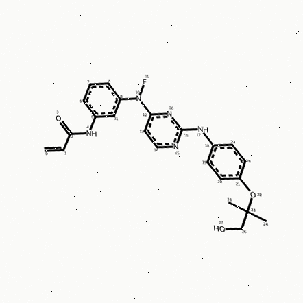 C=CC(=O)Nc1cccc(N(F)c2ccnc(Nc3ccc(OC(C)(C)CO)cc3)n2)c1